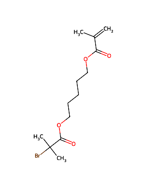 C=C(C)C(=O)OCCCCCOC(=O)C(C)(C)Br